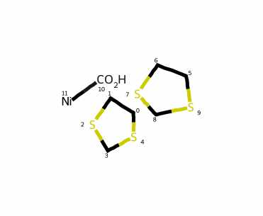 C1CSCS1.C1CSCS1.O=[C](O)[Ni]